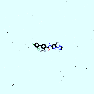 COc1cc(-c2ccc(F)cc2Cl)ccc1C(=O)Nc1cnc(-n2nccn2)c(C(F)(F)F)c1